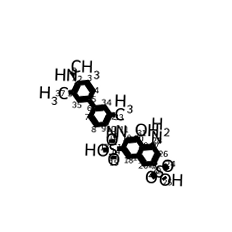 CNc1ccc(-c2ccc(/N=N/c3c(S(=O)(=O)O)cc4cc(S(=O)(=O)O)cc(N)c4c3O)c(C)c2)cc1C